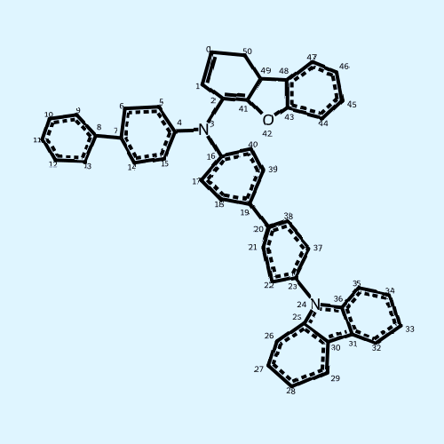 C1=CC(N(c2ccc(-c3ccccc3)cc2)c2ccc(-c3ccc(-n4c5ccccc5c5ccccc54)cc3)cc2)=C2Oc3ccccc3C2C1